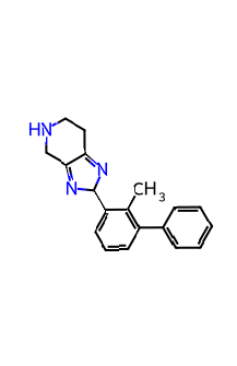 Cc1c(-c2ccccc2)cccc1C1N=C2CCNCC2=N1